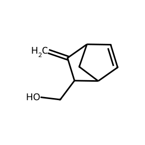 C=C1C2C=CC(C2)C1CO